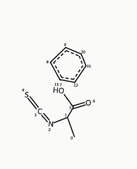 CC(N=C=S)C(=O)O.c1ccccc1